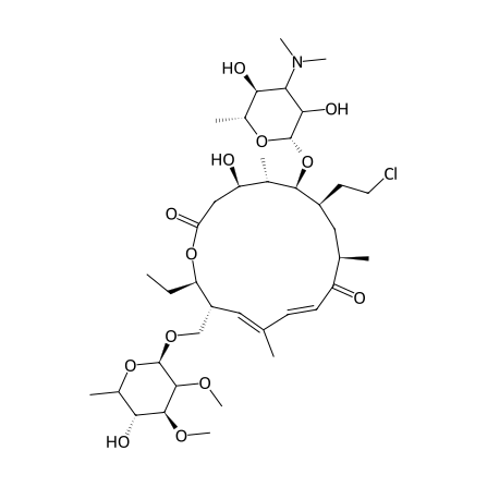 CC[C@H]1OC(=O)C[C@@H](O)[C@H](C)[C@@H](O[C@@H]2O[C@H](C)[C@@H](O)C(N(C)C)C2O)[C@@H](CCCl)C[C@@H](C)C(=O)/C=C/C(C)=C/[C@@H]1CO[C@@H]1OC(C)[C@@H](O)[C@H](OC)C1OC